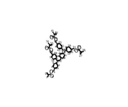 C=C(C)C(=O)OCc1ccc(C(=Cc2ccc(N(c3ccc(COC(=O)C(=C)C)cc3)c3ccc(COC(=O)C(=C)C)cc3)cc2)c2ccc(COC(=O)C(=C)C)cc2)cc1